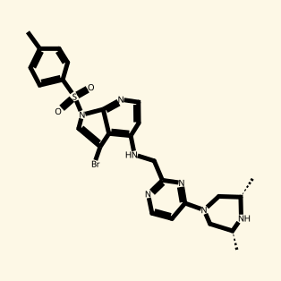 Cc1ccc(S(=O)(=O)n2cc(Br)c3c(NCc4nccc(N5C[C@@H](C)N[C@@H](C)C5)n4)ccnc32)cc1